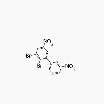 O=[N+]([O-])c1cccc(-c2cc([N+](=O)[O-])cc(Br)c2Br)c1